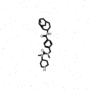 CN(Cc1ccc(C(=O)NC2CCC3CC4CC(C3)C2C4)cc1)C(=O)N(C)C1CCNCC1